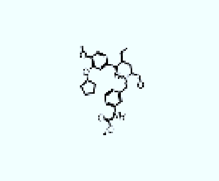 CCC1CC(C=O)N(Cc2cccc(NC(=O)OC)c2)N=C1c1ccc(OC)c(OC2CCCC2)c1